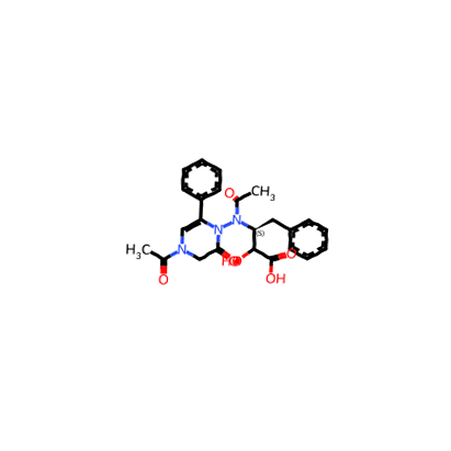 CC(=O)N1C=C(c2ccccc2)N(N(C(C)=O)[C@@H](Cc2ccccc2)C(O)C(=O)O)C(=O)C1